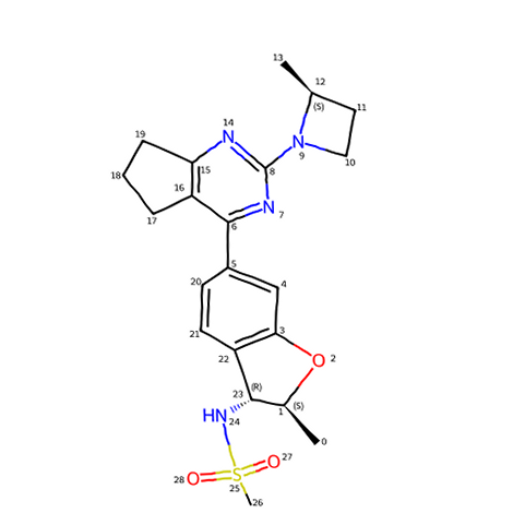 C[C@@H]1Oc2cc(-c3nc(N4CC[C@@H]4C)nc4c3CCC4)ccc2[C@H]1NS(C)(=O)=O